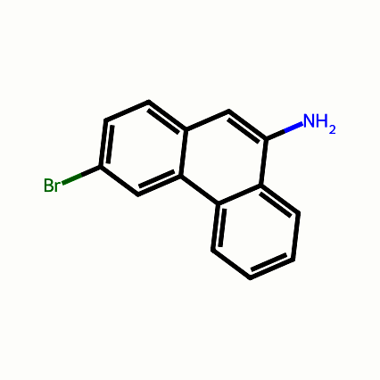 Nc1cc2ccc(Br)cc2c2ccccc12